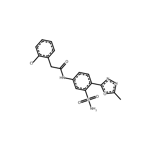 Cc1nnc(-c2ccc(NC(=O)Cc3ccccc3Cl)cc2S(N)(=O)=O)o1